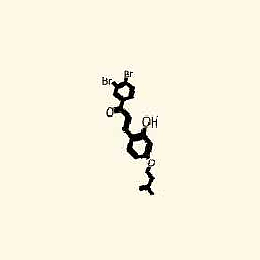 C=C(C)CCOc1ccc(C=CC(=O)c2ccc(Br)c(Br)c2)c(O)c1